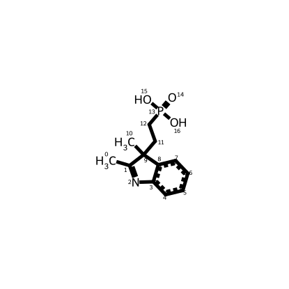 CC1=Nc2ccccc2C1(C)CCP(=O)(O)O